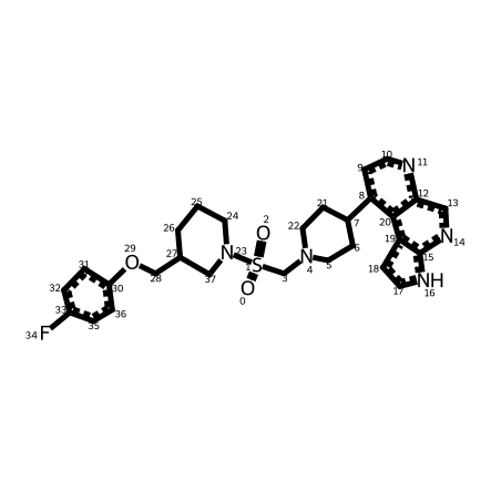 O=S(=O)(CN1CCC(c2ccnc3cnc4[nH]ccc4c23)CC1)N1CCCC(COc2ccc(F)cc2)C1